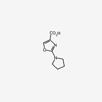 O=C(O)c1coc(N2CCCC2)n1